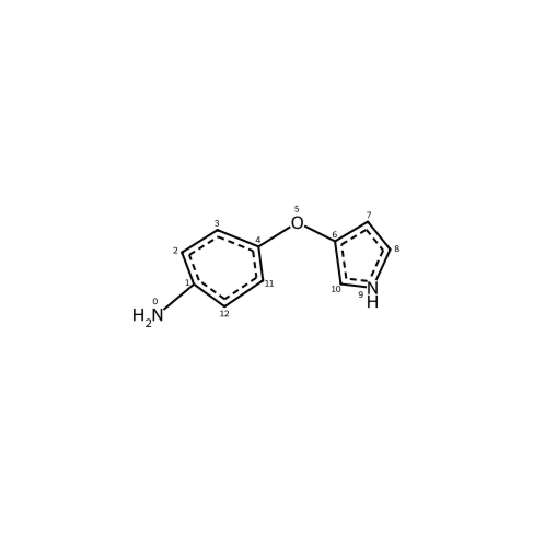 Nc1ccc(Oc2cc[nH]c2)cc1